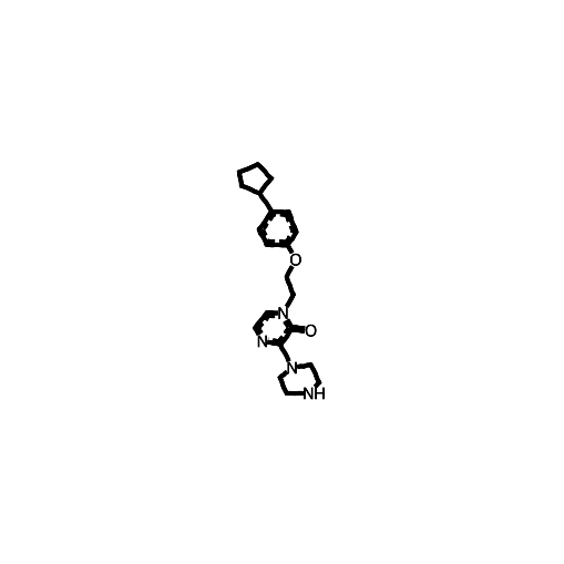 O=c1c(N2CCNCC2)nccn1CCOc1ccc(C2CCCC2)cc1